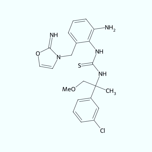 COCC(C)(NC(=S)Nc1c(N)cccc1Cn1ccoc1=N)c1cccc(Cl)c1